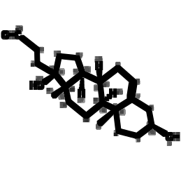 C[C@]12CC[C@H](O)CC1=CC[C@@H]1[C@@H]2CC[C@@]2(C)[C@H]1CC[C@@]2(O)CCC=O